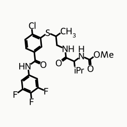 COC(=O)NC(C(=O)NCC(C)Sc1cc(C(=O)Nc2cc(F)c(F)c(F)c2)ccc1Cl)C(C)C